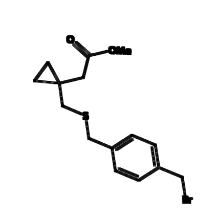 COC(=O)CC1(CSCc2ccc(CBr)cc2)CC1